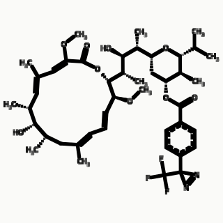 CO/C1=C\C(C)=C\[C@@H](C)[C@@H](O)[C@@H](C)C/C(C)=C/C=C/[C@H](OC)[C@@H]([C@@H](C)[C@@H](O)[C@H](C)[C@H]2C[C@@H](OC(=O)c3ccc(C4(C(F)(F)F)N=N4)cc3)[C@H](C)[C@@H](C(C)C)O2)OC1=O